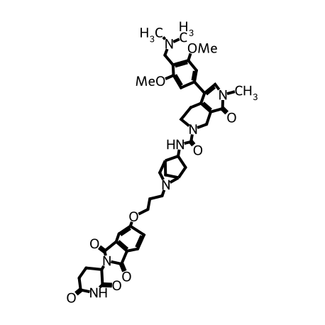 COc1cc(-c2cn(C)c(=O)c3c2CCN(C(=O)NC2CC4CC2CN4CCCOc2ccc4c(c2)C(=O)N(C2CCC(=O)NC2=O)C4=O)C3)cc(OC)c1CN(C)C